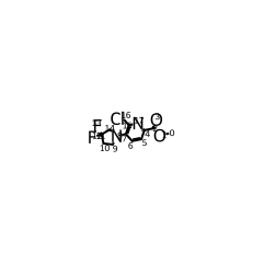 COC(=O)c1ccc(N2CCC(F)(F)C2)c(Cl)n1